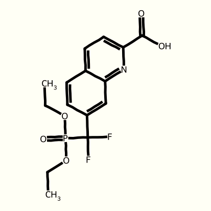 CCOP(=O)(OCC)C(F)(F)c1ccc2ccc(C(=O)O)nc2c1